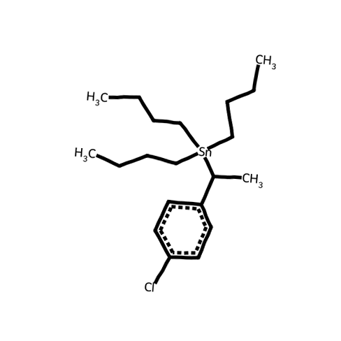 CCC[CH2][Sn]([CH2]CCC)([CH2]CCC)[CH](C)c1ccc(Cl)cc1